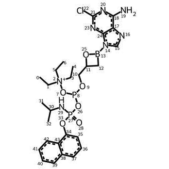 CC[N+](CC)(CC)OP(OCC1CB(n2cnc3c(N)nc(Cl)nc32)O1)OP(=O)(NC(C)C)Oc1cccc2ccccc12